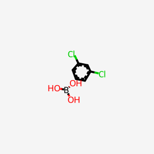 Clc1cccc(Cl)c1.OB(O)O